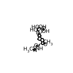 Cc1cnc(NC(=O)CC[C@@H]2CC(=O)C3(C)CCC4c5ccc(O[C@@H]6O[C@H](C(=O)O)[C@@H](O)[C@H](O)[C@H]6O)cc5CCC4C23)s1